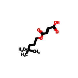 C[Si](C)(C)CCCOC(=O)C=CC(=O)O